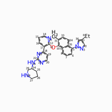 CCc1cnn(-c2cccc3c(Oc4ncccc4-c4ccnc(N[C@H]5CCCNC5)n4)c(C)ccc23)c1